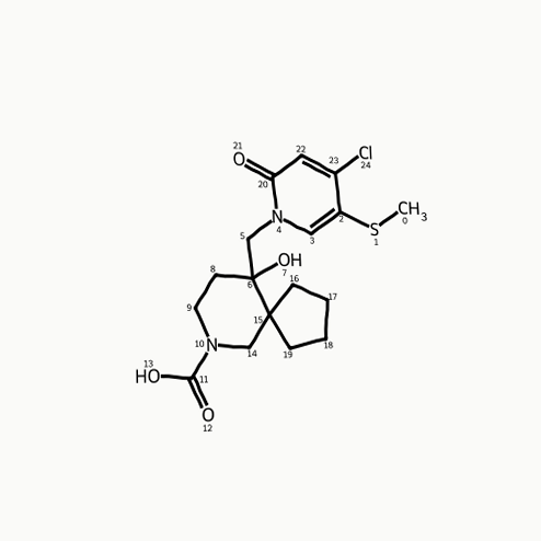 CSc1cn(CC2(O)CCN(C(=O)O)CC23CCCC3)c(=O)cc1Cl